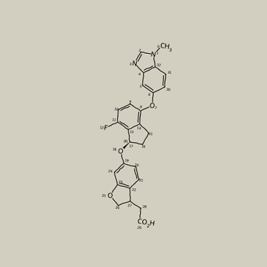 Cn1cnc2cc(Oc3ccc(F)c4c3CC[C@H]4Oc3ccc4c(c3)OCC4CC(=O)O)ccc21